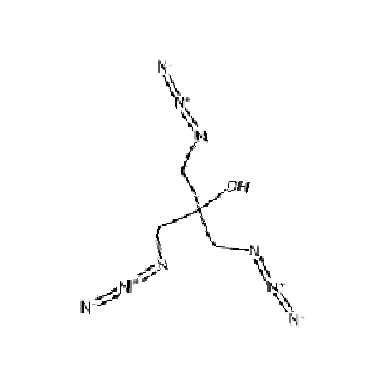 [N-]=[N+]=NCC(O)(CN=[N+]=[N-])CN=[N+]=[N-]